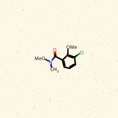 COc1c(Cl)cccc1C(=O)N(C)OC